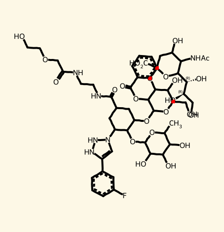 CC(=O)NC1C(O)CC(OC2C(O)C(CO)OC(OC3CC(C(=O)NCCNC(=O)COCCO)CC(N4C=C(c5cccc(F)c5)NN4)C3OC3OC(C)C(O)C(O)C3O)C2OC(=O)c2ccccc2)(C(=O)O)OC1[C@H](O)[C@H](O)CO